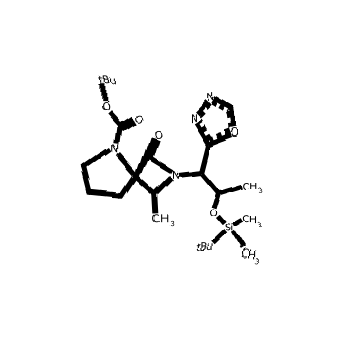 CC(O[Si](C)(C)C(C)(C)C)C(c1nnco1)N1C(=O)C2(CCCN2C(=O)OC(C)(C)C)C1C